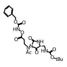 CC(=O)N(CCC(=O)ONC(=O)OCc1ccccc1)N1C(=O)N[C@@H](CNC(=O)OC(C)(C)C)C1=O